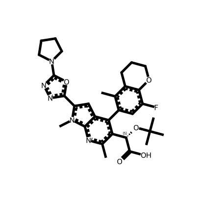 Cc1nc2c(cc(-c3nnc(N4CCCC4)o3)n2C)c(-c2cc(F)c3c(c2C)CCCO3)c1[C@H](OC(C)(C)C)C(=O)O